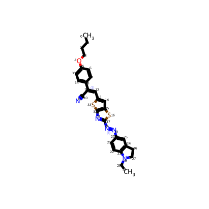 CCCCOc1ccc(/C(C#N)=C/c2cc3sc(/N=N/c4ccc5c(c4)CCN5CC)nc3s2)cc1